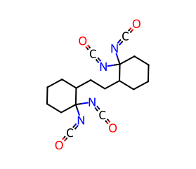 O=C=NC1(N=C=O)CCCCC1CCC1CCCCC1(N=C=O)N=C=O